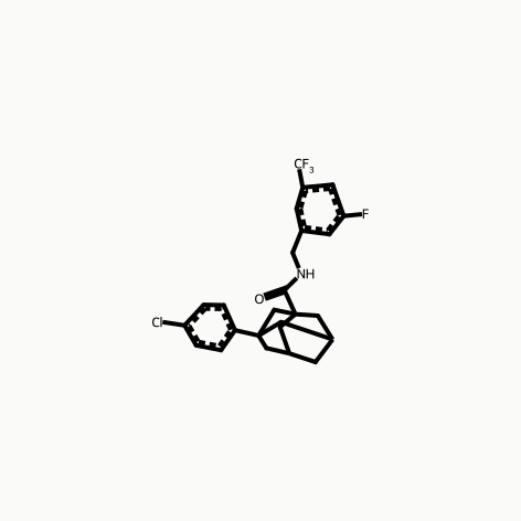 O=C(NCc1cc(F)cc(C(F)(F)F)c1)C12CC3CC(C1)CC(c1ccc(Cl)cc1)(C3)C2